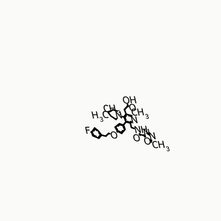 Cc1nnc(C(=O)NCc2nc(C)c(CC(=O)O)c(N3CCC(C)(C)CC3)c2-c2ccc(OCCc3ccc(F)cc3)cc2)o1